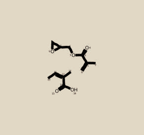 C=C(C)C(=O)OCC1CO1.CC=C(C)C(=O)O